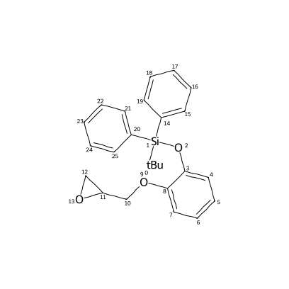 CC(C)(C)[Si](Oc1ccccc1OCC1CO1)(c1ccccc1)c1ccccc1